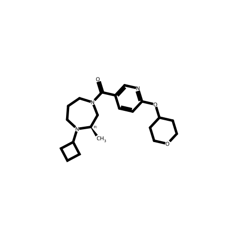 C[C@@H]1CN(C(=O)c2ccc(OC3CCOCC3)nc2)CCCN1C1CCC1